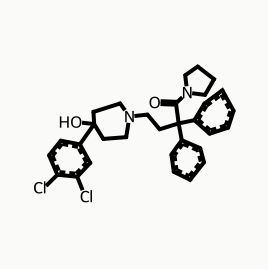 O=C(N1CCCC1)C(CCN1CCC(O)(c2ccc(Cl)c(Cl)c2)CC1)(c1ccccc1)c1ccccc1